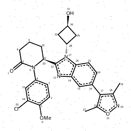 COc1ccc(N2C(=O)CCC[C@H]2c2nc3cc(-c4c(C)noc4C)ccc3n2[C@H]2C[C@H](O)C2)cc1Cl